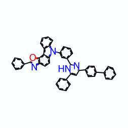 C1=C(c2ccccc2)NC(c2cccc(-n3c4ccccc4c4c5oc(-c6ccccc6)nc5ccc43)c2)N=C1c1ccc(-c2ccccc2)cc1